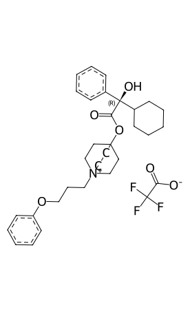 O=C(OC12CC[N+](CCCOc3ccccc3)(CC1)CC2)[C@](O)(c1ccccc1)C1CCCCC1.O=C([O-])C(F)(F)F